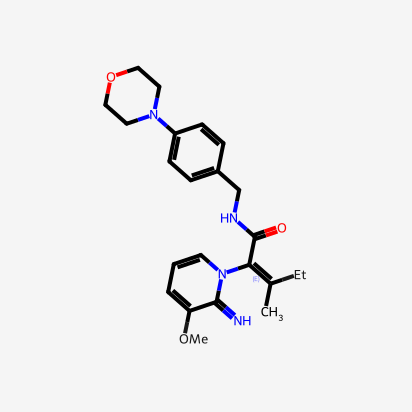 CC/C(C)=C(\C(=O)NCc1ccc(N2CCOCC2)cc1)n1cccc(OC)c1=N